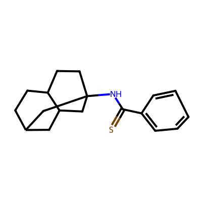 S=C(NC12CCC3CCC(CC3C1)C2)c1ccccc1